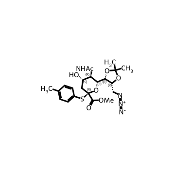 COC(=O)[C@]1(Sc2ccc(C)cc2)C[C@H](O)[C@@H](NC(C)=O)[C@H]([C@@H]2OC(C)(C)O[C@@H]2CN=[N+]=[N-])O1